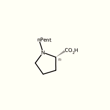 [CH2]CCCCN1CCC[C@H]1C(=O)O